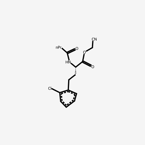 CCCC(=O)N[C@@H](CCc1ccccc1Cl)C(=O)OCC#N